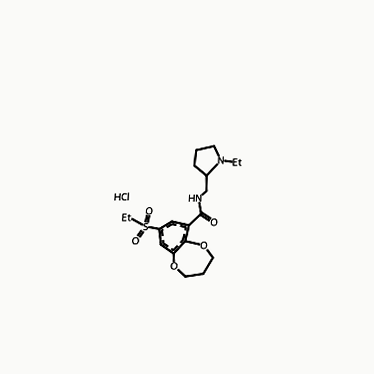 CCN1CCCC1CNC(=O)c1cc(S(=O)(=O)CC)cc2c1OCCCO2.Cl